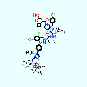 COC[C@H](NC(=O)[C@H](C)NCc1c(F)cc(Cl)cc1Oc1ccc(-c2cnc(CN(C(=O)OC(C)(C)C)C(C)(C)C)n2C)cc1)C(=O)N(C)[C@@]1(Cc2ccc(Cl)cc2)CCCN(C(=O)[C@@H](CC(=O)O)C2CC(F)(F)C2)C1